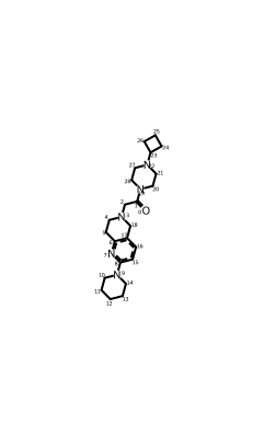 O=C(CN1CCc2nc(N3CCCCC3)ccc2C1)N1CCN(C2CCC2)CC1